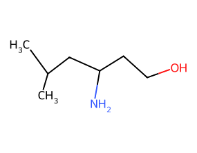 CC(C)CC(N)CCO